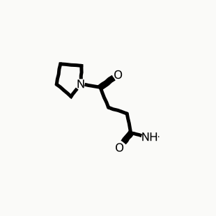 [NH]C(=O)CCC(=O)N1CCCC1